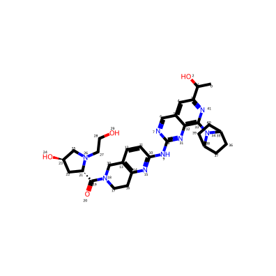 CC(O)c1cc2cnc(Nc3ccc4c(n3)CCN(C(=O)[C@@H]3C[C@@H](O)CN3CCO)C4)nc2c(N2C3CCC2CC3)n1